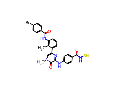 Cc1c(NC(=O)c2ccc(C(C)(C)C)cc2)cccc1-c1cn(C)c(=O)c(Nc2ccc(C(=O)NS)cc2)n1